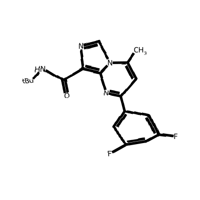 Cc1cc(-c2cc(F)cc(F)c2)nc2c(C(=O)NC(C)(C)C)ncn12